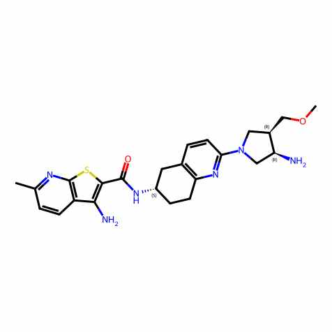 COC[C@@H]1CN(c2ccc3c(n2)CC[C@H](NC(=O)c2sc4nc(C)ccc4c2N)C3)C[C@@H]1N